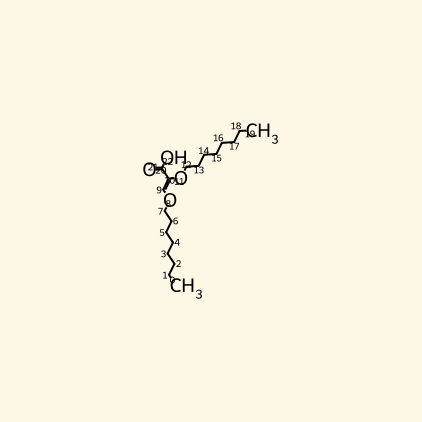 CCCCCCCCOC=C(OCCCCCCCC)C(=O)O